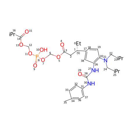 CC[C@@H](CC(=O)OCOP(=O)(O)OCOC(=O)C(C)C)c1ccc(N(CC(C)C)CC(C)C)c(NC(=O)Nc2ccc(C)cc2)c1